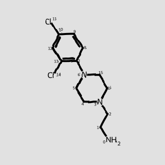 NCCN1CCN(c2ccc(Cl)cc2Cl)CC1